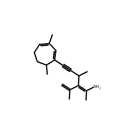 C=C(C)/C(=C(\C)N)C(C)C#CC1=CC(C)=CCCC1C